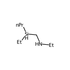 CCC[SiH](CC)CNCC